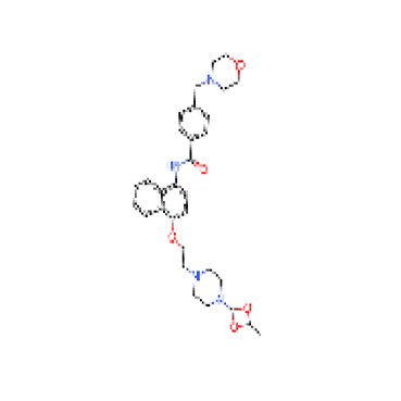 CC1OC(N2CCN(CCOc3ccc(NC(=O)c4ccc(CN5CCOCC5)cc4)c4ccccc34)CC2)O1